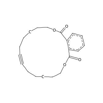 O=C1OCCCCCC#CCCCCCOC(=O)c2ccccc21